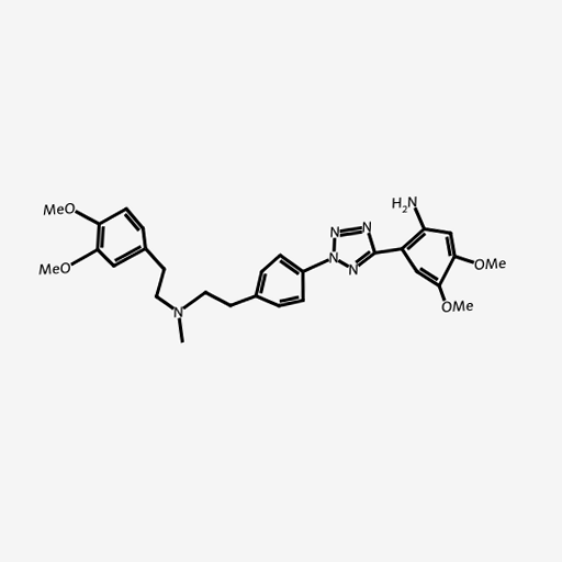 COc1ccc(CCN(C)CCc2ccc(-n3nnc(-c4cc(OC)c(OC)cc4N)n3)cc2)cc1OC